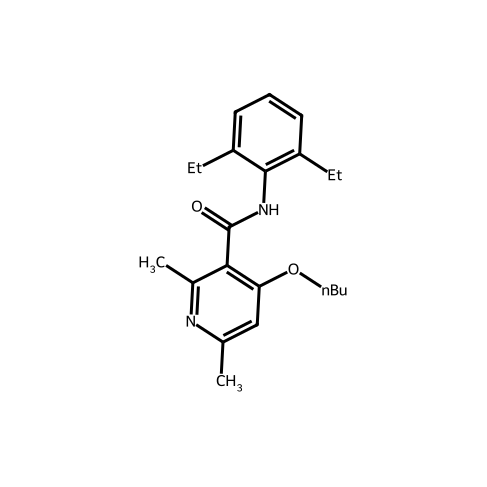 CCCCOc1cc(C)nc(C)c1C(=O)Nc1c(CC)cccc1CC